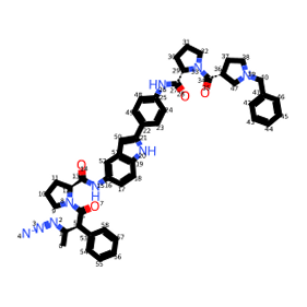 CC(N=[N+]=[N-])[C@@H](C(=O)N1CCC[C@H]1C(=O)Nc1ccc2[nH]c(-c3ccc(NC(=O)[C@@H]4CCCN4C(=O)[C@@H]4CCN(Cc5ccccc5)C4)cc3)cc2c1)c1ccccc1